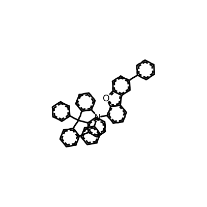 c1ccc(-c2ccc3oc4c(N(c5ccccc5)c5ccccc5C5(c6ccccc6)c6ccccc6-c6ccccc65)cccc4c3c2)cc1